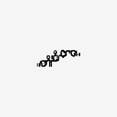 O=C(Nc1ccn(-c2ccc(CN3CCNCC3)cc2)c(=O)n1)N1CCNCC1